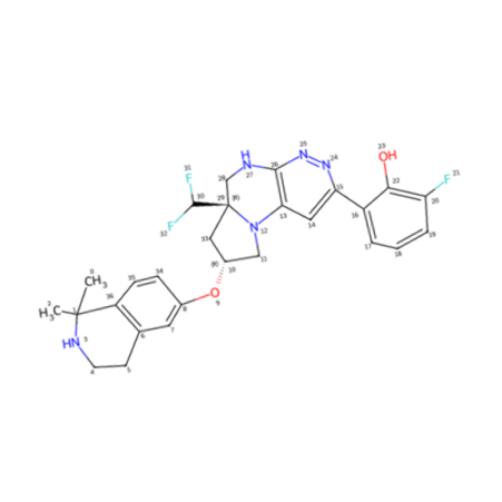 CC1(C)NCCc2cc(O[C@H]3CN4c5cc(-c6cccc(F)c6O)nnc5NC[C@@]4(C(F)F)C3)ccc21